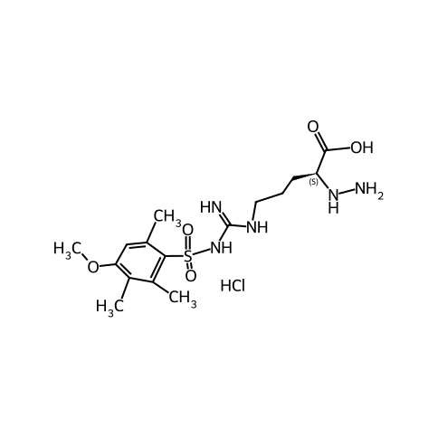 COc1cc(C)c(S(=O)(=O)NC(=N)NCCC[C@H](NN)C(=O)O)c(C)c1C.Cl